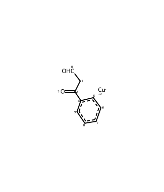 O=CCC(=O)c1ccccc1.[Cu]